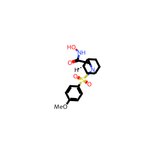 COc1ccc(S(=O)(=O)N2C3CCC(CC3)[C@@H]2C(=O)NO)cc1